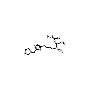 CN(CCCCc1csc(CN2CCCC2)n1)C(N)=NC(N)=O